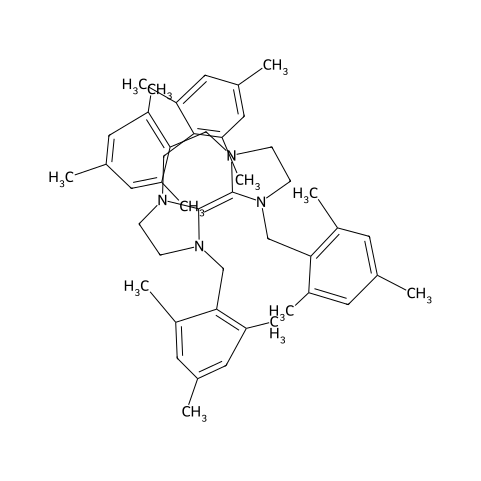 Cc1cc(C)c(CN2CCN(Cc3c(C)cc(C)cc3C)C2=C2N(Cc3c(C)cc(C)cc3C)CCN2Cc2c(C)cc(C)cc2C)c(C)c1